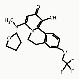 Cc1c2n(c(N(C)[C@@H]3CCCO3)cc1=O)CCc1cc(OCC(F)(F)F)ccc1-2